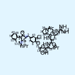 CCC/N=C1\S/C(=C\c2ccc(OC[C@@H](CO)OC(=O)[C@H](CC(C)C)NC(=O)[C@@H](CCCNC(=N)N)NC(=O)[C@@H]3CCCN3C(C)=O)c(Cl)c2)C(=O)N1c1ccccc1C